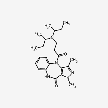 CCC(C)N(CCC(=O)N1c2ccccc2NC(=O)c2c1c(C)nn2C)C(C)CC